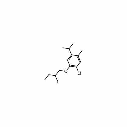 CCC(I)COc1cc(C(C)C)c(C)cc1Cl